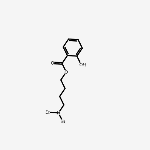 CCN(CC)CCCCOC(=O)c1ccccc1O